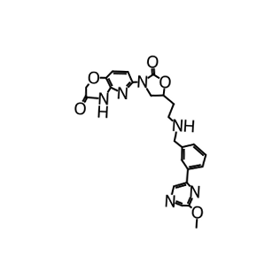 COc1cncc(-c2cccc(CNCCC3CN(c4ccc5c(n4)NC(=O)CO5)C(=O)O3)c2)n1